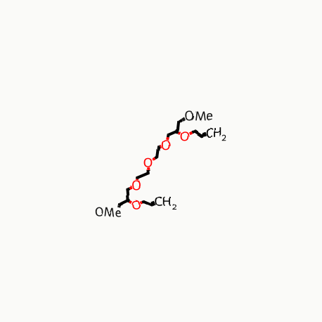 C=CCOC(COC)COCCOCCOCC(COC)OCC=C